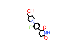 O=C1CCC(C2C=CC(N3CCC(CO)CC3)=C(F)C2)C(=O)N1